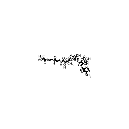 CC(=O)C(C)C(=O)SCCNC(=O)CCNC(=O)[C@@H](O)C(C)(C)COP(=O)(O)OP(=O)(O)OC[C@H]1O[C@@H](n2cnc3c(N)ncnc32)[C@H](O)[C@@H]1OP(=O)(O)O